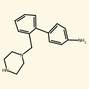 Nc1ccc(-c2ccccc2CN2CCNCC2)cc1